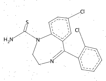 NC(=S)N1CCN=C(c2ccccc2Cl)c2cc(Cl)ccc21